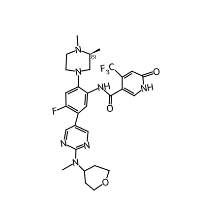 C[C@H]1CN(c2cc(F)c(-c3cnc(N(C)C4CCOCC4)nc3)cc2NC(=O)c2c[nH]c(=O)cc2C(F)(F)F)CCN1C